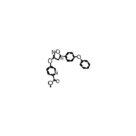 COC(=O)c1ccc(OC2=NO[C@@H](c3ccc(Oc4ccccc4)cc3)C2)cn1